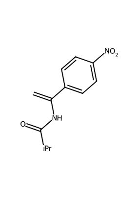 C=C(NC(=O)C(C)C)c1ccc([N+](=O)[O-])cc1